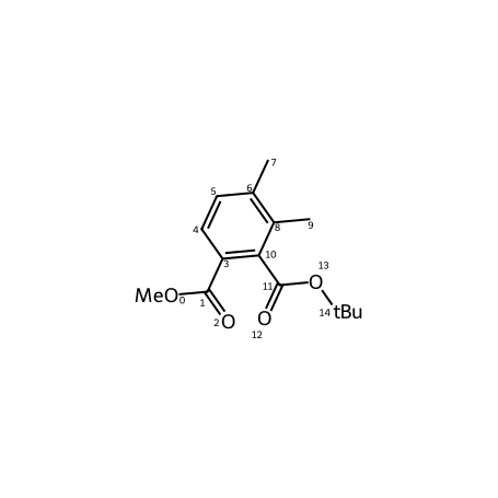 COC(=O)c1ccc(C)c(C)c1C(=O)OC(C)(C)C